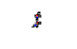 Cc1ccc(N(c2ccc(-c3ccc(N(c4ccc(C)cc4)c4ccccc4-c4cccc5ccccc45)c(C)c3)cc2C)c2ccccc2-c2cccc3ccccc23)cc1